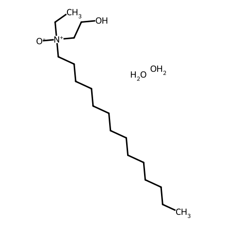 CCCCCCCCCCCCCC[N+]([O-])(CC)CCO.O.O